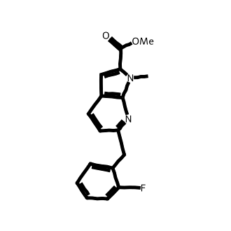 COC(=O)c1cc2ccc(Cc3ccccc3F)nc2n1C